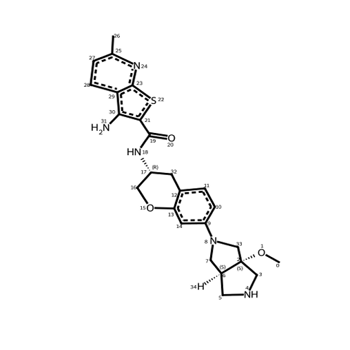 CO[C@]12CNC[C@H]1CN(c1ccc3c(c1)OC[C@H](NC(=O)c1sc4nc(C)ccc4c1N)C3)C2